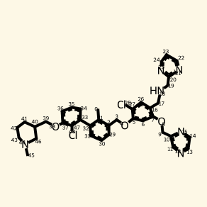 Cc1c(COc2cc(OCc3cnccn3)c(CNCc3ncccn3)cc2Cl)cccc1-c1cccc(OCC2CCCN(C)C2)c1Cl